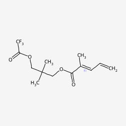 C=C/C=C(\C)C(=O)OCC(C)(C)COC(=O)C(F)(F)F